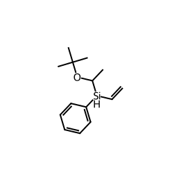 C=C[SiH](c1ccccc1)C(C)OC(C)(C)C